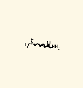 CNCCCCCC(=O)CN